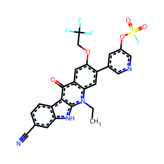 CCn1c2cc(-c3cncc(OS(=O)(=O)F)c3)c(OCC(F)(F)F)cc2c(=O)c2c3ccc(C#N)cc3[nH]c21